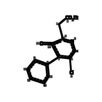 CCOC(=O)Cn1ncc(Cl)c(-c2ccccc2)c1=O